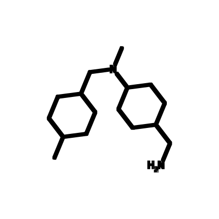 CC1CCC(CN(C)C2CCC(CN)CC2)CC1